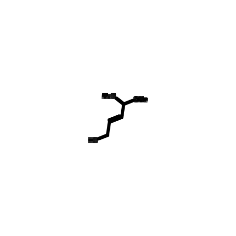 COC(/C=C/CO)OC